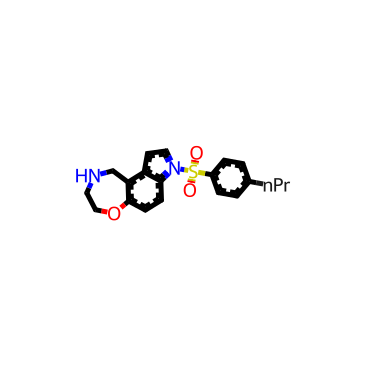 CCCc1ccc(S(=O)(=O)n2ccc3c4c(ccc32)OCCNC4)cc1